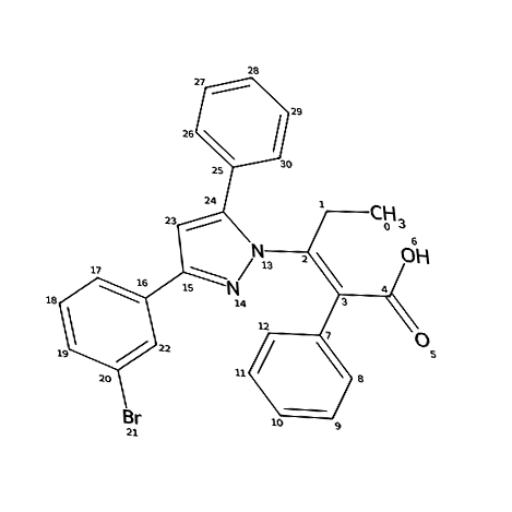 CCC(=C(C(=O)O)c1ccccc1)n1nc(-c2cccc(Br)c2)cc1-c1ccccc1